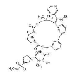 C=CS(=O)(=O)N1CC[C@H](C(=O)N(C)[C@H](C(=O)N[C@H]2Cc3cccc(c3)-c3ccc4c(c3)c(c(-c3cncnc3)n4CC)CC(C)(C)COC(=O)[C@@H]3CCCN(N3)C2=O)C(C)C)C1